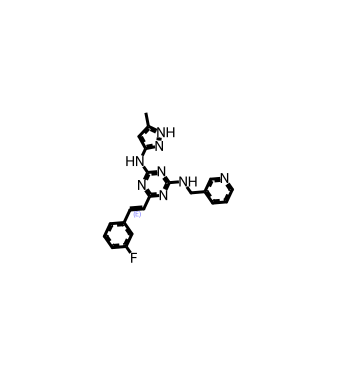 Cc1cc(Nc2nc(/C=C/c3cccc(F)c3)nc(NCc3cccnc3)n2)n[nH]1